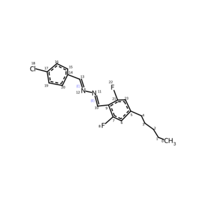 CCCCCc1cc(F)c(/C=N/N=C/c2ccc(Cl)cc2)c(F)c1